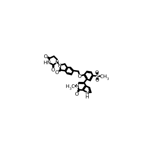 Cn1cc(-c2cc(S(C)(=O)=O)ccc2OCc2ccc3c(c2)CN(N2CCC(=O)NC2=O)C3=O)c2cc[nH]c2c1=O